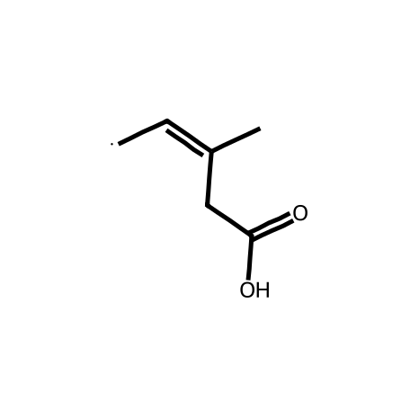 [CH2]C=C(C)CC(=O)O